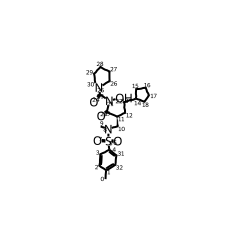 Cc1ccc(S(=O)(=O)N(C)C[C@H](CCC2CCCC2)C(=O)N(O)C(=O)N2CCCCC2)cc1